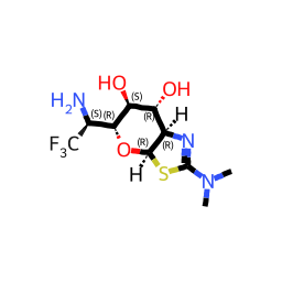 CN(C)C1=N[C@@H]2[C@@H](O)[C@H](O)[C@@H]([C@H](N)C(F)(F)F)O[C@@H]2S1